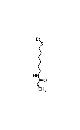 C=CC(=O)NCCCCCCSCC